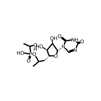 CC(C[C@H]1O[C@@H](n2cnc(=O)[nH]c2=O)[C@H](O)[C@@H]1O)OP(=O)(O)C(C)O